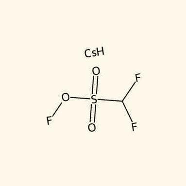 O=S(=O)(OF)C(F)F.[CsH]